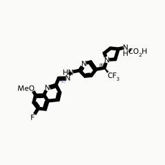 COc1cc(F)cc2ccc(/C=N/Nc3ccc([C@@H](N4CCC(NC(=O)O)C4)C(F)(F)F)cn3)nc12